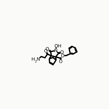 NCCC(=O)C12C(=O)N(O)C(=O)C1(C(=O)OCc1ccccc1)C1C=CC2C1